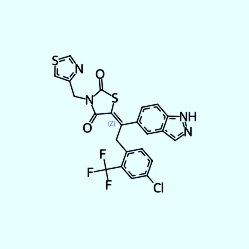 O=C1S/C(=C(/Cc2ccc(Cl)cc2C(F)(F)F)c2ccc3[nH]ncc3c2)C(=O)N1Cc1cscn1